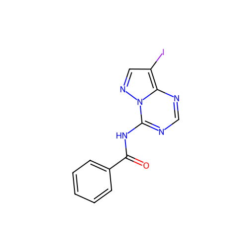 O=C(Nc1ncnc2c(I)cnn12)c1ccccc1